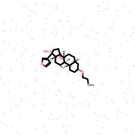 CNCCO[C@H]1CC[C@@]2(C)[C@H](CC[C@@H]3[C@@H]2CC[C@]2(C)[C@@](O)(c4ccoc4)CC[C@]32O)C1